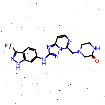 O=C1CN(Cc2nccc3nc(Nc4ccc5c(C(F)(F)F)n[nH]c5c4)nn23)CCN1